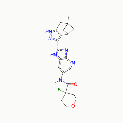 CN(C(=O)C1(F)CCOCC1)c1cnc2nc(-c3n[nH]c4c3C3CC(C)(C4)C3)[nH]c2c1